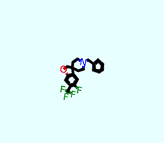 Fc1cc2c(cc1C(F)(F)F)OCC21CCN(Cc2ccccc2)CC1